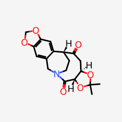 CC1(C)O[C@@H]2C(=O)N3CC[C@@H](C(=O)C[C@H]2O1)c1cc2c(cc1C3)OCO2